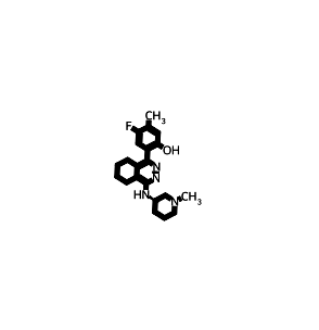 Cc1cc(O)c(-c2nnc(N[C@@H]3CCCN(C)C3)c3c2CCCC3)cc1F